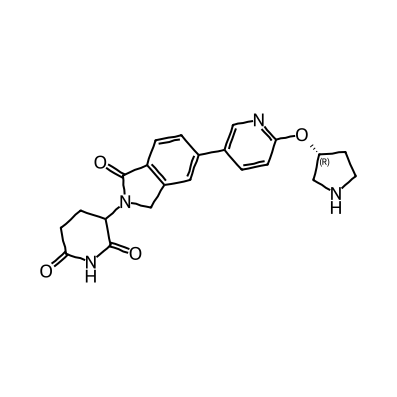 O=C1CCC(N2Cc3cc(-c4ccc(O[C@@H]5CCNC5)nc4)ccc3C2=O)C(=O)N1